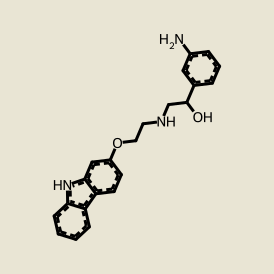 Nc1cccc(C(O)CNCCOc2ccc3c(c2)[nH]c2ccccc23)c1